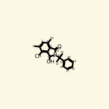 Cc1cc(I)c2c(c1Cl)C(O)N(C(C)(C)c1ccccc1)C2=O